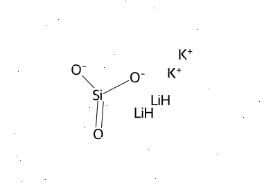 O=[Si]([O-])[O-].[K+].[K+].[LiH].[LiH]